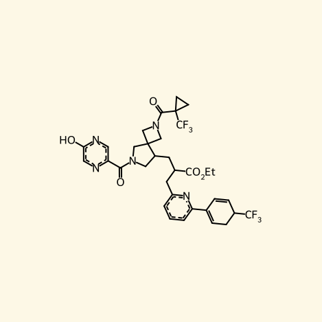 CCOC(=O)C(Cc1cccc(C2=CCC(C(F)(F)F)C=C2)n1)CC1CN(C(=O)c2cnc(O)cn2)CC12CN(C(=O)C1(C(F)(F)F)CC1)C2